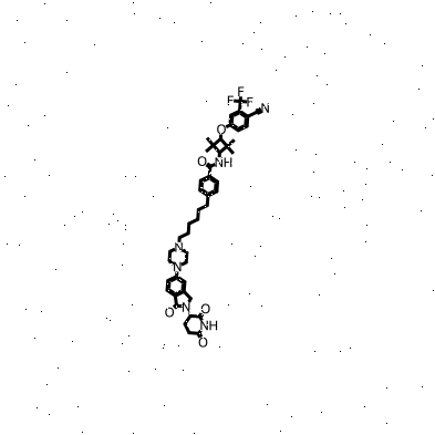 CC1(C)C(NC(=O)c2ccc(CCCCCCN3CCN(c4ccc5c(c4)CN([C@H]4CCC(=O)NC4=O)C5=O)CC3)cc2)C(C)(C)C1Oc1ccc(C#N)c(C(F)(F)F)c1